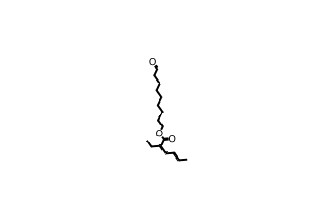 CCCCC(CC)C(=O)OCCCCCCCCC=O